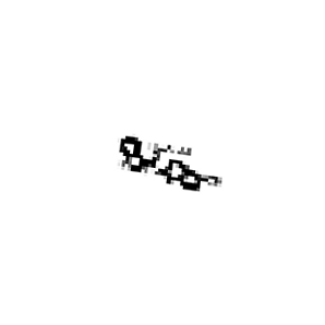 CS(=O)(=O)O.O=C(NC1CC2CC3CC(C1)N2CC3O)c1c[nH]c2ccccc12